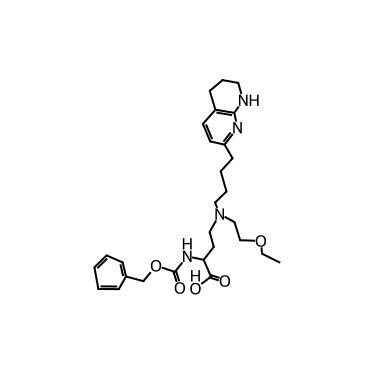 CCOCCN(CCCCc1ccc2c(n1)NCCC2)CCC(NC(=O)OCc1ccccc1)C(=O)O